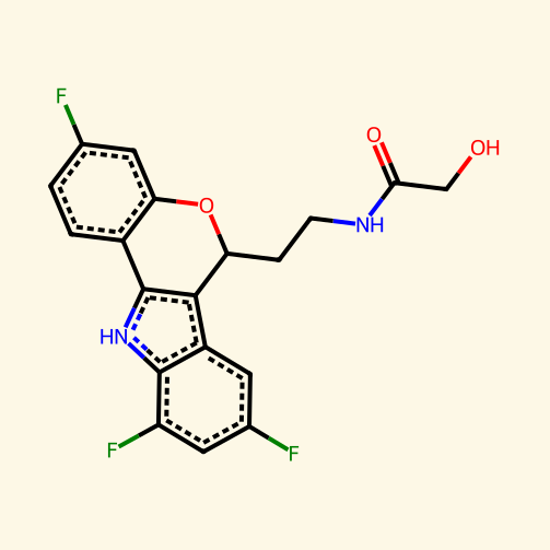 O=C(CO)NCCC1Oc2cc(F)ccc2-c2[nH]c3c(F)cc(F)cc3c21